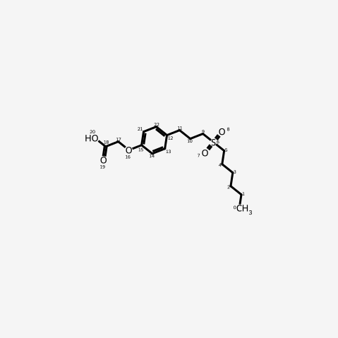 CCCCCCS(=O)(=O)CCCc1ccc(OCC(=O)O)cc1